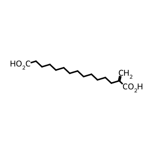 C=C(CCCCCCCCCCCCC(=O)O)C(=O)O